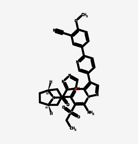 CCS(=O)(=O)c1c(C2C[C@H]3CC[C@@H](C2)N3C(=O)c2nnc[nH]2)nc2c(-c3ccc(-c4ccc(OC)c(C#N)c4)nc3)cnn2c1N